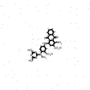 Nc1c(S(=O)(=O)O)cc(Nc2ccc(N(N)c3nc(O)nc(O)n3)c(S(=O)(=O)O)c2)c2c1C(=O)c1ccccc1C2=O